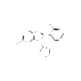 Cc1nc(Cl)c2nc(-c3ccccc3C)n(C3CCOC3)c2n1